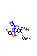 COCCCc1cc2nc(-c3cc(F)ccc3O)nc(N[C@H]3CCNC3)c2cc1OC